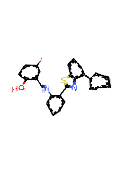 Oc1ccc(I)cc1/C=N/c1ccccc1-c1nc2c(-c3ccccc3)cccc2s1